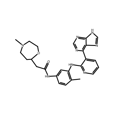 Cc1ccc(NC(=O)CC2CCN(C)CCO2)cc1Nc1ncccc1-c1ncnc2[nH]cnc12